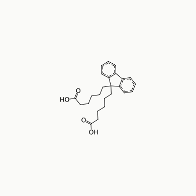 O=C(O)CCCCCC1(CCCCCC(=O)O)c2ccccc2-c2ccccc21